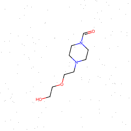 O=CN1CCN(CCOCCO)CC1